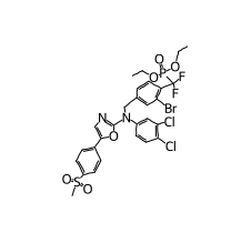 CCOP(=O)(OCC)C(F)(F)c1ccc(CN(c2ccc(Cl)c(Cl)c2)c2ncc(-c3ccc(S(C)(=O)=O)cc3)o2)cc1Br